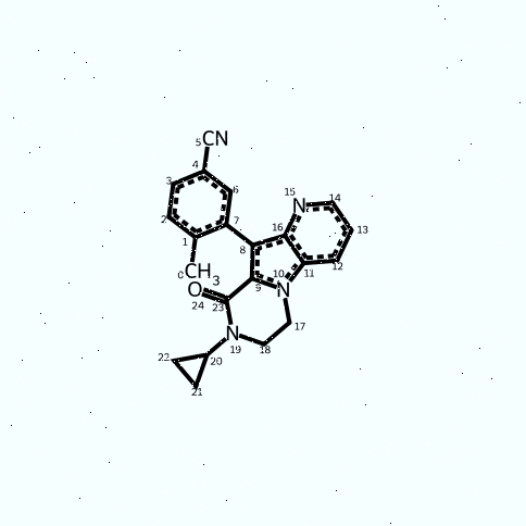 Cc1ccc(C#N)cc1-c1c2n(c3cccnc13)CCN(C1CC1)C2=O